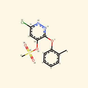 Cc1ccccc1Oc1nnc(Cl)cc1OS(C)(=O)=O